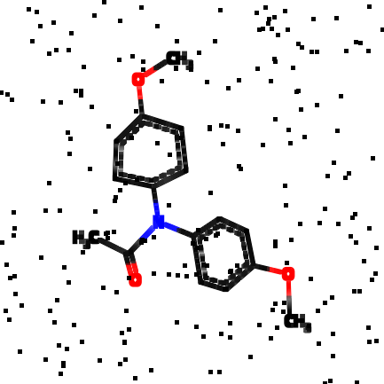 COc1ccc(N(C(C)=O)c2ccc(OC)cc2)cc1